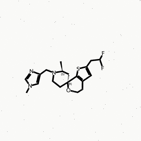 C[C@H]1C[C@@]2(CCN1Cc1cn(C)cn1)OCCc1cc(CC(F)F)sc12